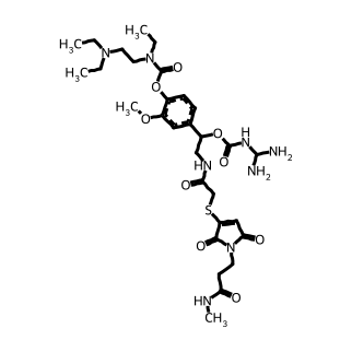 CCN(CC)CCN(CC)C(=O)Oc1ccc(C(CNC(=O)CSC2=CC(=O)N(CCC(=O)NC)C2=O)OC(=O)NC(N)N)cc1OC